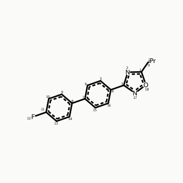 CC(C)c1nc(-c2ccc(-c3ccc(F)cc3)cc2)no1